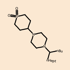 CCCCCCCC(CCCC)N1CCN(C2CCS(=O)(=O)CC2)CC1